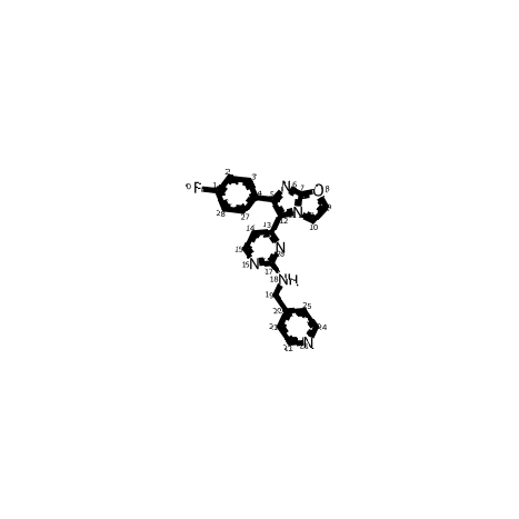 Fc1ccc(-c2nc3occn3c2-c2ccnc(NCc3ccncc3)n2)cc1